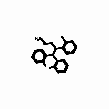 Cc1ccccc1C(CO[SiH3])C(c1ccccc1C)c1ccccc1C